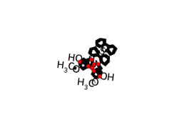 COc1ccc2c(c1)c1cc(CO)ccc1n2-c1cccc2c1-c1c(-n3c4ccc(CO)cc4c4cc(OC)ccc43)cccc1S21(=O)c2ccccc2-c2ccccc21